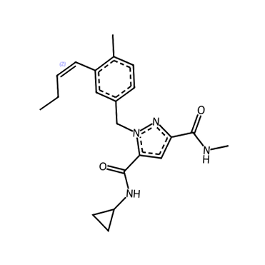 CC/C=C\c1cc(Cn2nc(C(=O)NC)cc2C(=O)NC2CC2)ccc1C